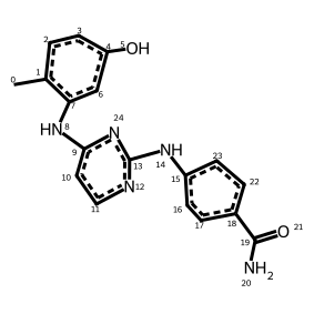 Cc1ccc(O)cc1Nc1ccnc(Nc2ccc(C(N)=O)cc2)n1